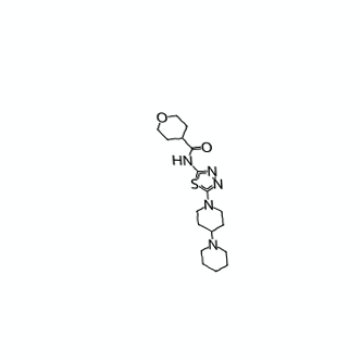 O=C(Nc1nnc(N2CCC(N3CCCCC3)CC2)s1)C1CCOCC1